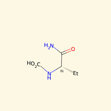 CC[C@H](NC(=O)O)C(N)=O